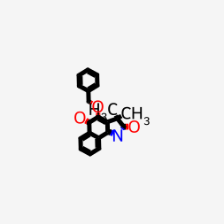 CC1(C)C(=O)N=C2C1=C(OCc1ccccc1)C(=O)c1ccccc12